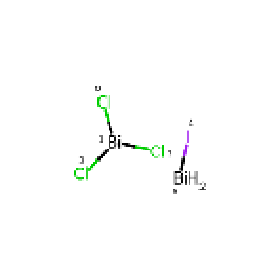 [Cl][Bi]([Cl])[Cl].[I][BiH2]